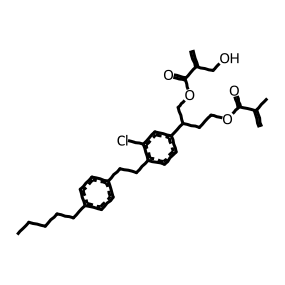 C=C(C)C(=O)OCCC(COC(=O)C(=C)CO)c1ccc(CCc2ccc(CCCCC)cc2)c(Cl)c1